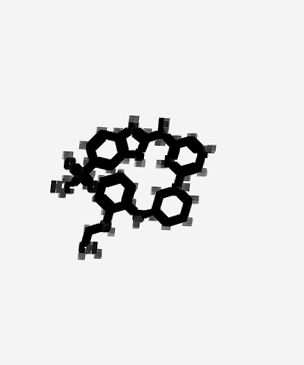 CCOc1ccccc1O[C@@H]1CCCN(c2cncc(Nc3nc4ccc(S(C)(=O)=O)cc4s3)n2)C1